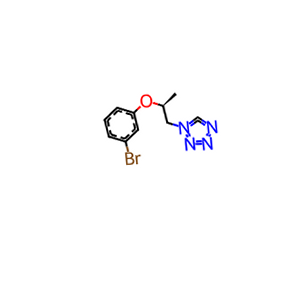 C[C@@H](Cn1cnnn1)Oc1cccc(Br)c1